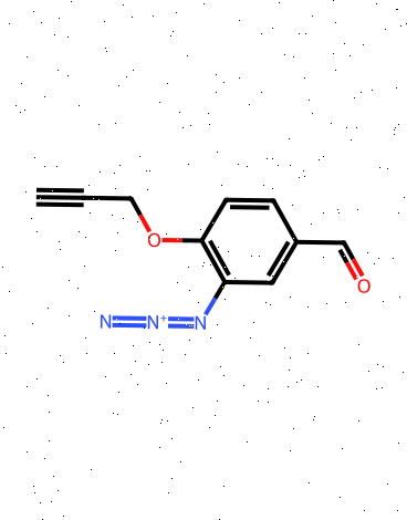 C#CCOc1ccc(C=O)cc1N=[N+]=[N-]